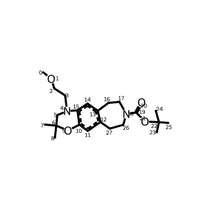 COCCN1CC(C)(C)Oc2cc3c(cc21)CCN(C(=O)OC(C)(C)C)CC3